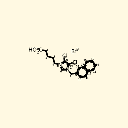 O=C(O)CCCCn1c[n+](Cc2ccc3ccccc3c2)c(Cl)c1Cl.[Br-]